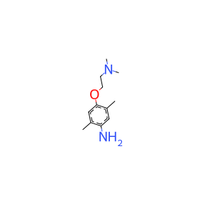 Cc1cc(OCCN(C)C)c(C)cc1N